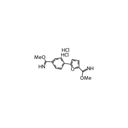 COC(=N)c1ccc(-c2ccc(C(=N)OC)o2)cc1.Cl.Cl